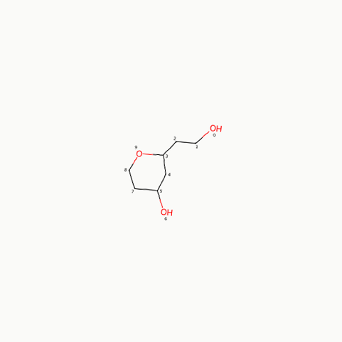 OCCC1CC(O)CCO1